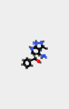 Cc1n[nH]c2ncc(C(=O)c3ccccc3)c(N)c12